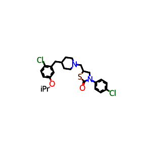 CC(C)Oc1ccc(Cl)c(CC2CCN(CC3CN(c4ccc(Cl)cc4)C(=O)S3)CC2)c1